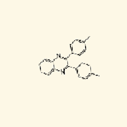 CC1=CC=C(c2nc3c(nc2-c2ccc(C)cc2)=CCCC=3)CC1